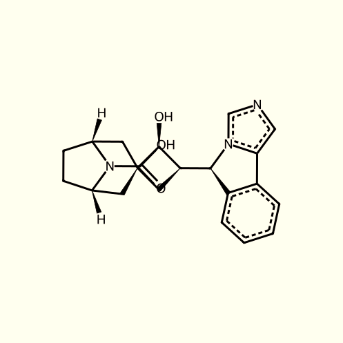 O=C(O)N1[C@@H]2CC[C@H]1C[C@@]1(C[C@H]([C@@H]3c4ccccc4-c4cncn43)[C@@H]1O)C2